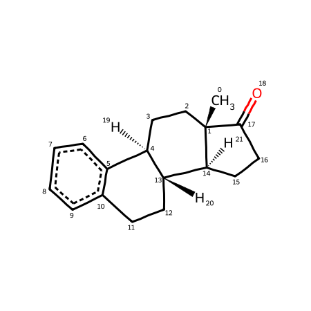 C[C@]12CC[C@@H]3c4ccccc4CC[C@H]3[C@@H]1CCC2=O